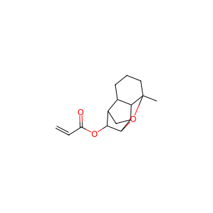 C=CC(=O)OC1C2CC3C1OC1(C)CCCC2C31